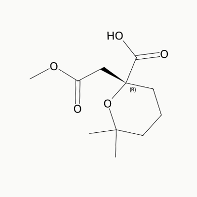 COC(=O)C[C@@]1(C(=O)O)CCCC(C)(C)O1